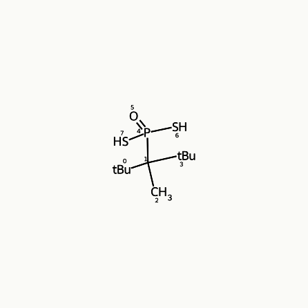 CC(C)(C)C(C)(C(C)(C)C)P(=O)(S)S